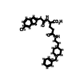 O=C(CCC(NC(=O)Cc1cc2ccc(Cl)cc2s1)C(=O)O)NCCC1CCN(Cc2ccccc2)CC1